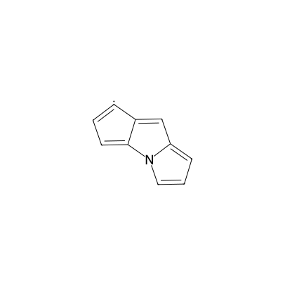 [C]1=CC=c2c1cc1cccn21